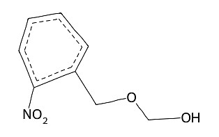 O=[N+]([O-])c1ccccc1COCO